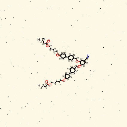 C=CC(=O)OCCCCCOc1ccc(-c2ccc(COc3ccc(C#N)cc3OCc3ccc(-c4ccc(OCCCCCOC(=O)C=C)cc4)cc3)cc2)cc1